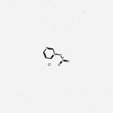 O=[SH](=O)O[n+]1cccnc1.[Cl-]